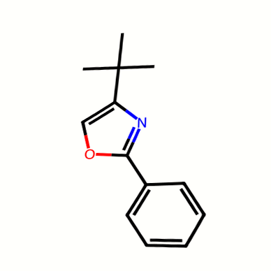 CC(C)(C)c1coc(-c2ccccc2)n1